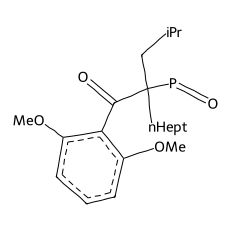 CCCCCCCC(CC(C)C)(P=O)C(=O)c1c(OC)cccc1OC